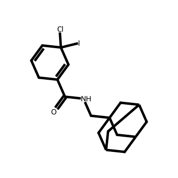 O=C(NCC12CC3CC(CC(C3)C1)C2)C1=CC(Cl)(I)C=CC1